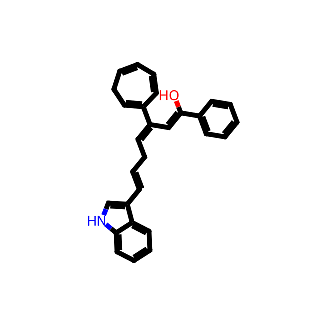 O/C(=C\C(=C/C/C=C/c1c[nH]c2ccccc12)C1=CCC=CC=C1)c1ccccc1